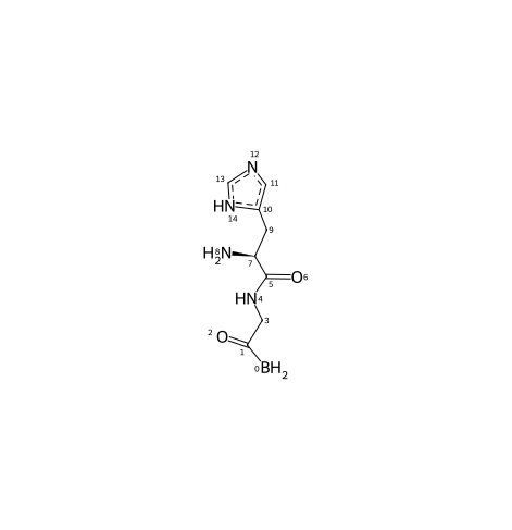 BC(=O)CNC(=O)[C@@H](N)Cc1cnc[nH]1